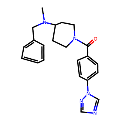 CN(Cc1ccccc1)C1CCN(C(=O)c2ccc(-n3cncn3)cc2)CC1